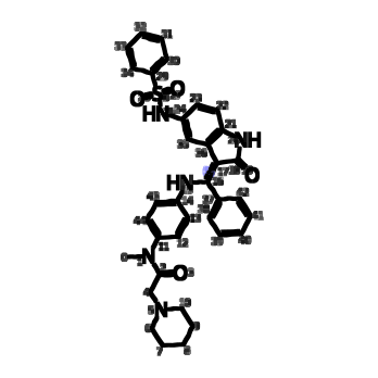 CN(C(=O)CN1CCCCC1)c1ccc(N/C(=C2/C(=O)Nc3ccc(NS(=O)(=O)c4ccccc4)cc32)c2ccccc2)cc1